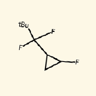 CC(C)(C)C(F)(F)C1CC1F